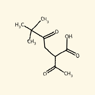 CC(=O)C(CC(=O)C(C)(C)C)C(=O)O